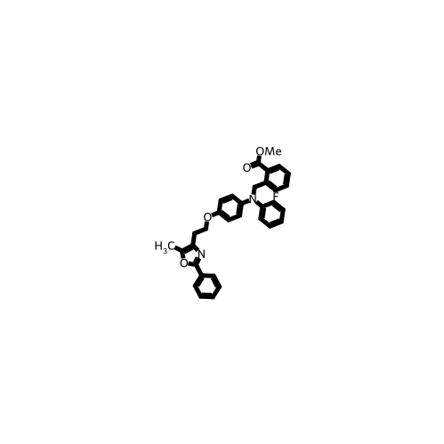 COC(=O)c1cccc(F)c1CN(c1ccccc1)c1ccc(OCCc2nc(-c3ccccc3)oc2C)cc1